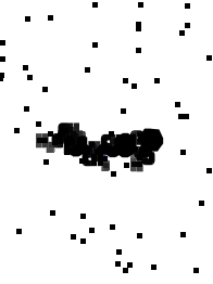 C/C(=C\N=C(/C)c1cnc(N(C)C)nc1)Cc1ccc2c(c1)NC(=O)c1ccccc1O2